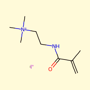 C=C(C)C(=O)NCC[N+](C)(C)C.[I+]